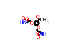 CC(=O)c1cc(OCC2CNC(=O)O2)cc(OCC2CNC(=O)O2)c1